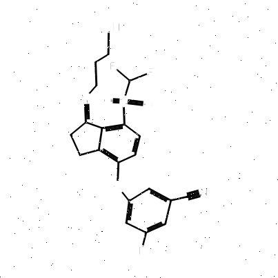 CCCC/N=C1/CCc2c(Oc3cc(F)cc(C#N)c3)ccc(S(=O)(=O)C(F)F)c21